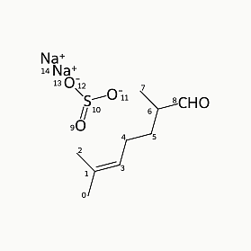 CC(C)=CCCC(C)C=O.O=S([O-])[O-].[Na+].[Na+]